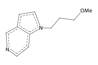 COCCCn1ccc2cnccc21